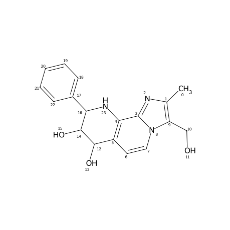 Cc1nc2c3c(ccn2c1CO)C(O)C(O)C(c1ccccc1)N3